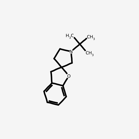 CC(C)(C)N1CCC2(Cc3ccccc3O2)C1